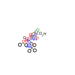 O=C(O)C1=C(CCl)C[S+]([O-])[C@H]2C(NC(=O)/C(=N\OC3(C(=O)OC(c4ccccc4)c4ccccc4)CCC3)c3csc(NC(c4ccccc4)(c4ccccc4)c4ccccc4)n3)C(=O)N12